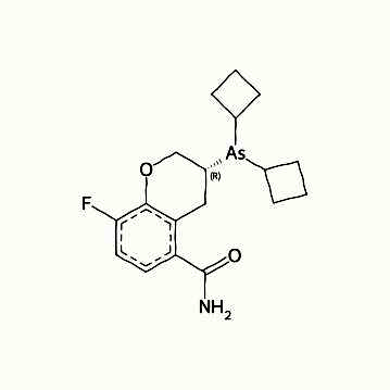 NC(=O)c1ccc(F)c2c1C[C@@H]([As](C1CCC1)C1CCC1)CO2